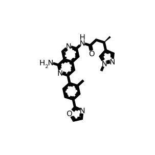 Cc1cc(-c2ncco2)ccc1-c1cc2cc(NC(=O)C[C@@H](C)c3cnn(C)c3)ncc2c(N)n1